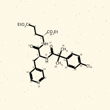 CCOC(=O)CC[C@@H](NC(=O)[C@H](Cc1ccncc1)NC(=O)C(C)(C)c1ccc(Cl)cc1)C(=O)OCC